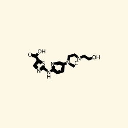 O=C(O)c1cnc(Nc2ccc(N3CCN(CCO)CC3)cn2)s1